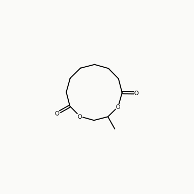 CC1COC(=O)CCCCCCC(=O)O1